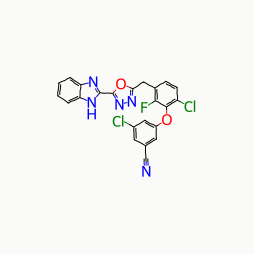 N#Cc1cc(Cl)cc(Oc2c(Cl)ccc(Cc3nnc(-c4nc5ccccc5[nH]4)o3)c2F)c1